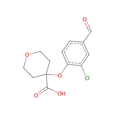 O=Cc1ccc(OC2(C(=O)O)CCOCC2)c(Cl)c1